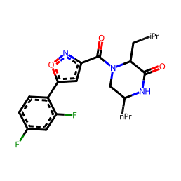 CCCC1CN(C(=O)c2cc(-c3ccc(F)cc3F)on2)C(CC(C)C)C(=O)N1